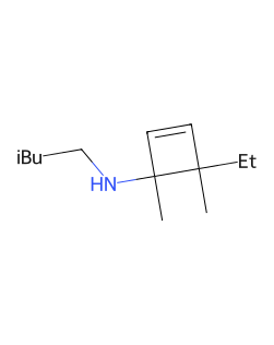 CCC(C)CNC1(C)C=CC1(C)CC